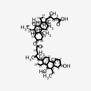 CCC1C2C[C@@H](O)CC[C@]2(C)C2CC[C@@]3(C)C(CC[C@@H]3[C@H](C)CCC(=O)O[C@@H]3CC[C@@]4(C)[C@@H](C3)[C@@H](CC)[C@@H](O)[C@@H]3[C@@H]4CC[C@]4(C)[C@@H]([C@H](C)CCC(=O)O)CC[C@@H]34)C2[C@H]1O